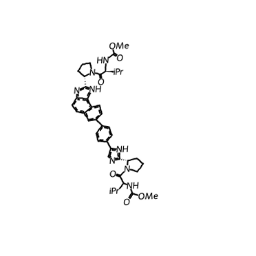 COC(=O)NC(C(=O)N1CCC[C@H]1c1ncc(-c2ccc(-c3ccc4c(ccc5nc([C@@H]6CCCN6C(=O)[C@@H](NC(=O)OC)C(C)C)[nH]c54)c3)cc2)[nH]1)C(C)C